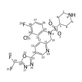 O=S(=O)(C1CCNCC1)N(Cc1ccc(-c2nnc(C(F)F)o2)cn1)c1ccc(F)c(Cl)c1